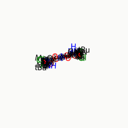 COc1cc(C(=O)OCCN2CCN(CCOC(=O)c3ccc(NC(=O)[C@@H]4N[C@@H](CC(C)(C)C)[C@](C#N)(c5ccc(Cl)cc5F)[C@H]4c4cccc(Cl)c4F)c(OC)c3)CC2)ccc1NC(=O)[C@@H]1N[C@@H](CC(C)(C)C)[C@](C#N)(c2ccc(Cl)cc2F)[C@H]1c1cccc(Cl)c1F